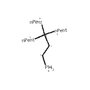 CCCCCC(CCP)(CCCCC)CCCCC